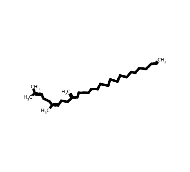 C=CCCCCCCCCCCCCCCCCC(=C)CCC=C(C)CCC=C(C)C